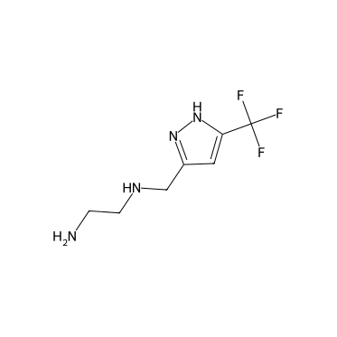 NCCNCc1cc(C(F)(F)F)[nH]n1